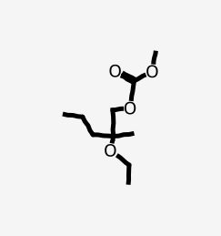 CCCC(C)(COC(=O)OC)OCC